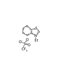 CC[n+]1csc2ccccc21.O=S(=O)([O-])C(F)(F)F